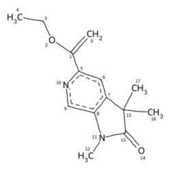 C=C(OCC)c1cc2c(cn1)N(C)C(=O)C2(C)C